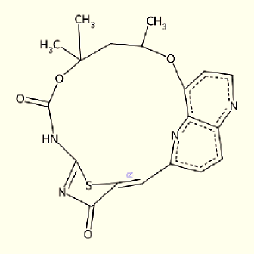 CC1CC(C)(C)OC(=O)NC2=NC(=O)/C(=C/c3ccc4nccc(c4n3)O1)S2